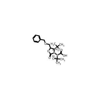 CC(C)(C)[C@@H]1C(COCc2ccccc2)OC(=O)N1N(C(=O)O)C(C)(C)C